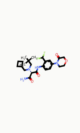 CC(C)(C)CN(CC1CCC1)[C@@H](C(N)=O)C(=O)Nc1ccc(N2CCOCC2=O)cc1C(F)F